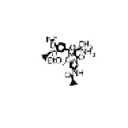 CCOC(=O)[C@@H]1C[C@@H](NC(=O)C2CC2)CN1C(=O)c1nc(-c2ccc(OC(F)F)c(OCC3CC3)c2)oc1[C@H](C)N